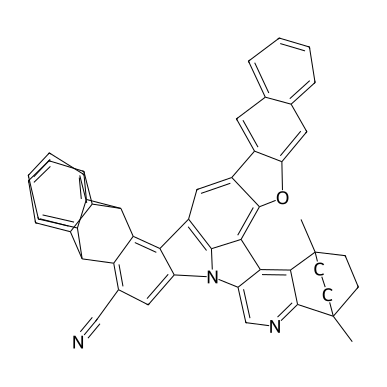 CC12CCC(C)(CC1)c1c2ncc2c1c1c3oc4cc5ccccc5cc4c3cc3c4c5c(c(C#N)cc4n2c31)C1c2ccccc2C5c2ccccc21